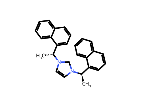 C[C@H](c1cccc2ccccc12)N1C=CN([C@H](C)c2cccc3ccccc23)C1